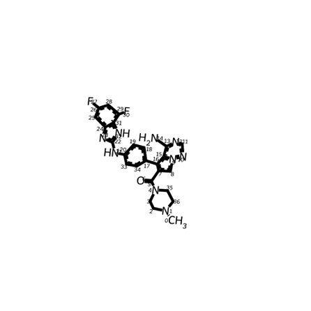 CN1CCN(C(=O)c2cn3ncnc(N)c3c2-c2ccc(Nc3nc4cc(F)cc(F)c4[nH]3)cc2)CC1